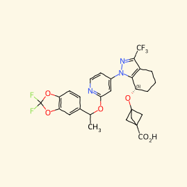 CC(Oc1cc(-n2nc(C(F)(F)F)c3c2[C@@H](OC24CC(C(=O)O)(C2)C4)CCC3)ccn1)c1ccc2c(c1)OC(F)(F)O2